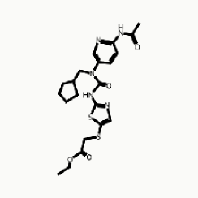 CCOC(=O)CSc1cnc(NC(=O)N(CC2CCCC2)c2ccc(NC(C)=O)nc2)s1